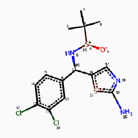 CC(C)(C)[S@@+]([O-])N[C@H](c1ccc(Cl)c(Cl)c1)c1cnc(N)s1